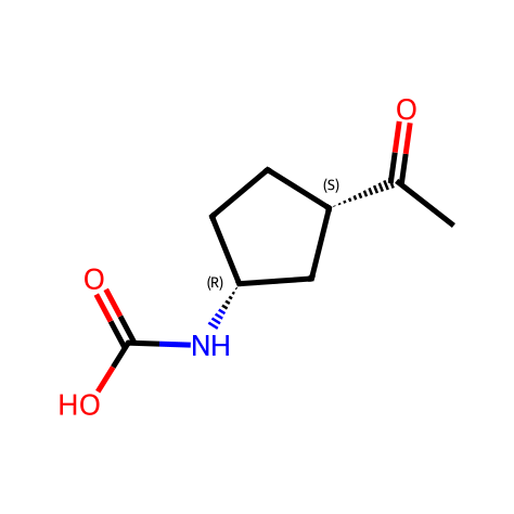 CC(=O)[C@H]1CC[C@@H](NC(=O)O)C1